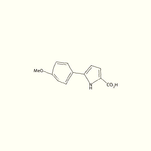 COc1ccc(-c2ccc(C(=O)O)[nH]2)cc1